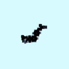 CN(CC1CO1)S(=O)(=O)c1cccc(-c2ccc(CCC(=O)O)cc2)c1